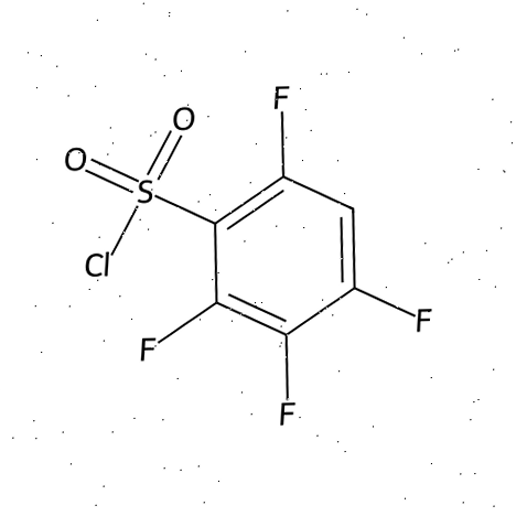 O=S(=O)(Cl)c1c(F)cc(F)c(F)c1F